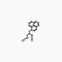 O=C=NCC(CC1C=Cc2cccc3cccc1c23)N=C=O